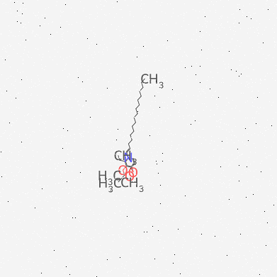 CCCCCCCCCCCCCCCCC=Cn1ccc(=O)c(OC(=O)C(C)(C)C)c1CC